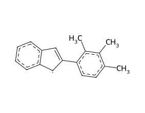 Cc1ccc(C2=Cc3ccccc3[CH]2)c(C)c1C